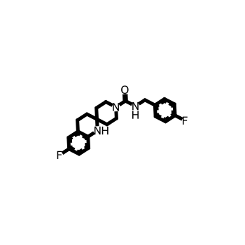 O=C(NCc1ccc(F)cc1)N1CCC2(CCc3cc(F)ccc3N2)CC1